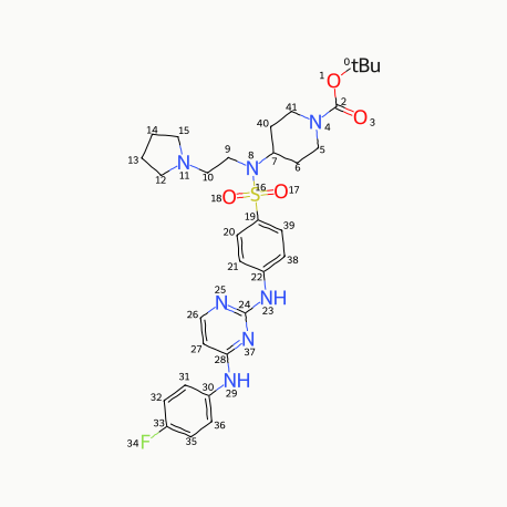 CC(C)(C)OC(=O)N1CCC(N(CCN2CCCC2)S(=O)(=O)c2ccc(Nc3nccc(Nc4ccc(F)cc4)n3)cc2)CC1